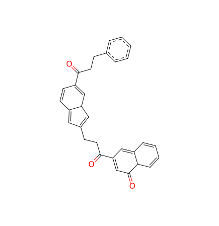 O=C(CCC1=CC2C=C(C(=O)CCc3ccccc3)C=CC2=C1)C1=CC(=O)C2C=CC=CC2=C1